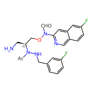 CC(=O)N(NCc1cccc(F)c1)[C@@H](CN)CON(C=O)c1cc2cc(F)ccc2cn1